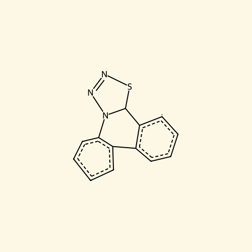 [c]1cccc2c1C1SN=NN1c1ccccc1-2